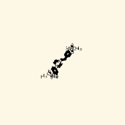 CS(=O)(=O)Nc1ccc(CCN2CCN(c3ccc(NS(C)(=O)=O)c(F)c3)CC2)cc1